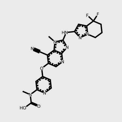 CN(C(=O)O)c1cc(Oc2cnc3nc(Nc4cc5n(n4)CCCC5(F)F)n(C)c3c2C#N)ccn1